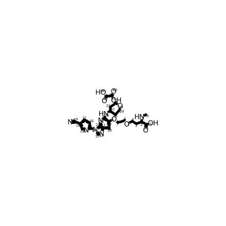 CNC(CCOCCOc1cc2ncn(-c3ccc(C#N)cn3)c2nc1NC1CCOCC1)C(=O)O.O=C(O)C(=O)O